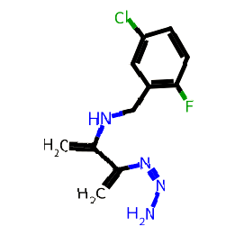 C=C(/N=N\N)C(=C)NCc1cc(Cl)ccc1F